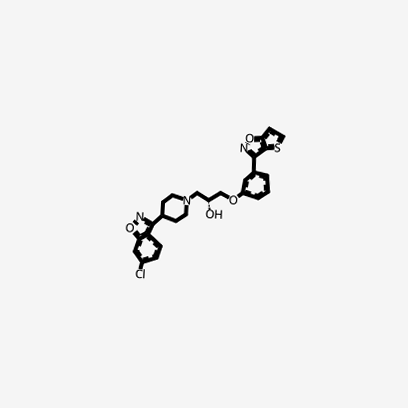 O[C@@H](COc1cccc(-c2noc3ccsc23)c1)CN1CCC(c2noc3cc(Cl)ccc23)CC1